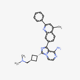 Cc1cc(-c2ccccc2)nc2cc(-c3nc([C@H]4C[C@H](CN(C)C)C4)n4ccnc(N)c34)ccc12